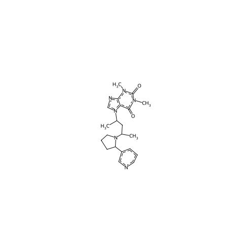 CC(CC(C)n1cnc2c1c(=O)n(C)c(=O)n2C)N1CCCC1c1cccnc1